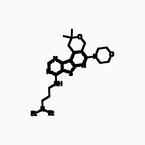 CCN(CC)CCCNc1ncnc2c1sc1nc(N3CCOCC3)c3c(c12)CC(C)(C)OC3